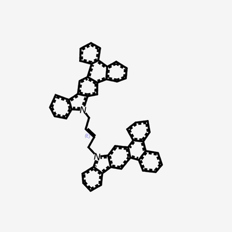 C(=C\Cn1c2ccccc2c2cc3c4ccccc4c4ccccc4c3cc21)/Cn1c2ccccc2c2cc3c4ccccc4c4ccccc4c3cc21